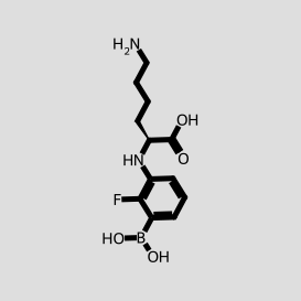 NCCCC[C@H](Nc1cccc(B(O)O)c1F)C(=O)O